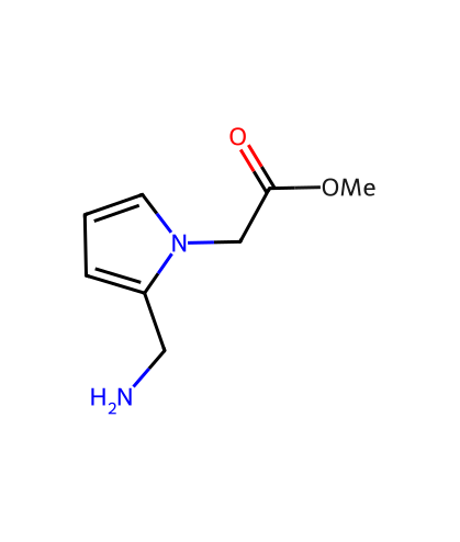 COC(=O)Cn1cccc1CN